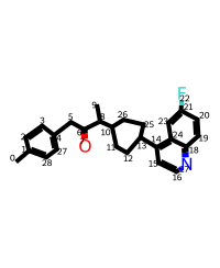 Cc1ccc(CC(=O)C(C)C2CCC(c3ccnc4ccc(F)cc34)CC2)cc1